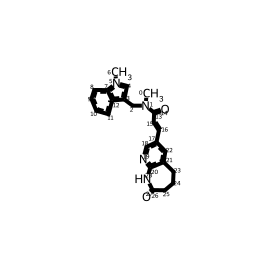 CN(Cc1cn(C)c2ccccc12)C(=O)/C=C/c1cnc2c(c1)CCCC(=O)N2